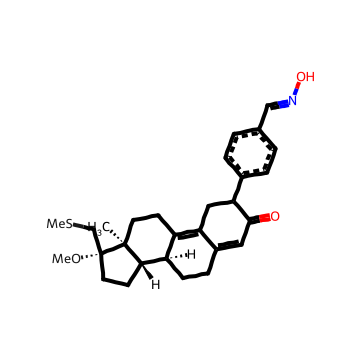 CO[C@@]1(CSC)CC[C@H]2[C@@H]3CCC4=CC(=O)C(c5ccc(C=NO)cc5)CC4=C3CC[C@@]21C